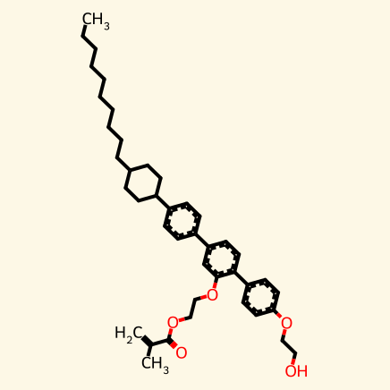 C=C(C)C(=O)OCCOc1cc(-c2ccc(C3CCC(CCCCCCCCCC)CC3)cc2)ccc1-c1ccc(OCCO)cc1